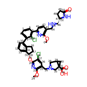 COc1nc(-c2cccc(-c3cccc4c3CC[C@@H]4Oc3nc(OC)c(CN4CC5CC5(C(=O)O)C4)cc3Cl)c2Cl)ccc1CNC[C@@H]1CCC(=O)N1